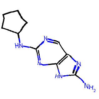 Nc1nc2cnc(NC3CCCC3)nc2[nH]1